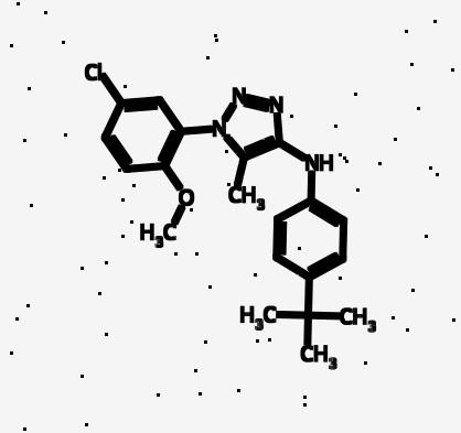 COc1ccc(Cl)cc1-n1nnc(Nc2ccc(C(C)(C)C)cc2)c1C